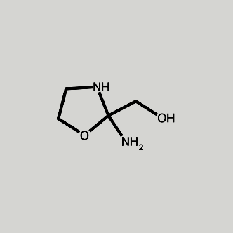 NC1(CO)NCCO1